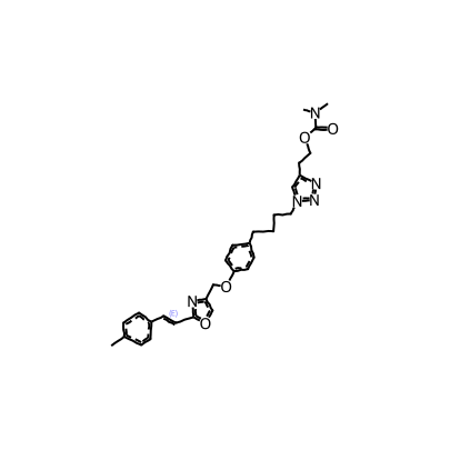 Cc1ccc(/C=C/c2nc(COc3ccc(CCCCn4cc(CCOC(=O)N(C)C)nn4)cc3)co2)cc1